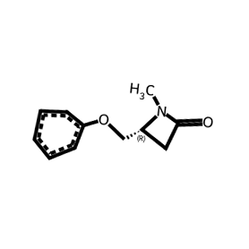 CN1C(=O)C[C@@H]1COc1ccccc1